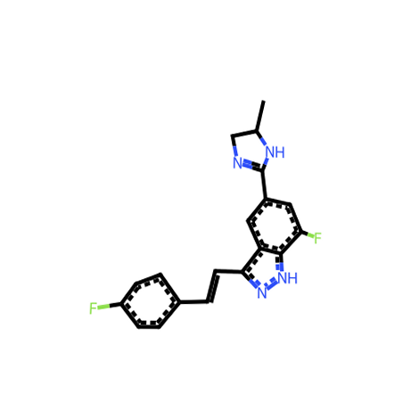 CC1CN=C(c2cc(F)c3[nH]nc(C=Cc4ccc(F)cc4)c3c2)N1